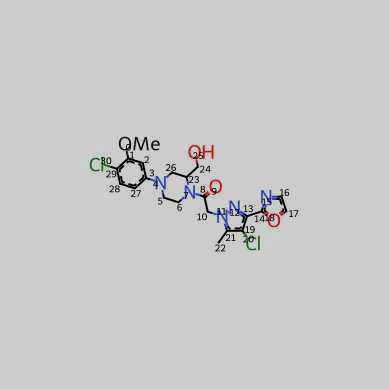 COc1cc(N2CCN(C(=O)Cn3nc(-c4ncco4)c(Cl)c3C)C(CO)C2)ccc1Cl